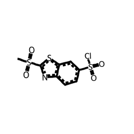 CS(=O)(=O)c1nc2ccc(S(=O)(=O)Cl)cc2s1